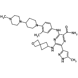 Cc1cc(-c2nc(C(N)=O)c(Nc3ccc(N4CCC(N5CCN(C)CC5)CC4)c(C)c3)nc2NC2CC3(COC3)C2)n[nH]1